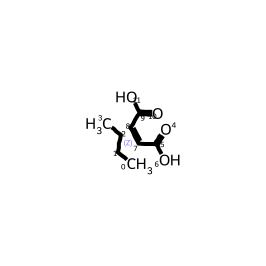 CCCC.O=C(O)/C=C\C(=O)O